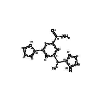 CCC(c1nc(C(N)=O)cc(-c2ccco2)n1)c1ncc[nH]1